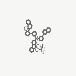 CC1(C)c2ccccc2-c2ccc(N(c3cccc(-c4ccc5ccccc5c4)c3)c3cccc(-c4cccc5oc6c7ccccc7ccc6c45)c3)cc21